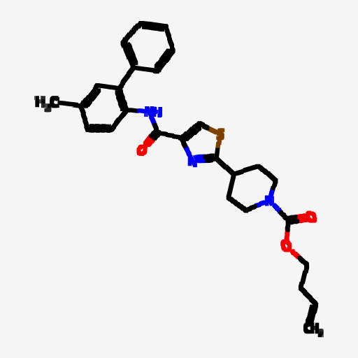 C=CCCOC(=O)N1CCC(c2nc(C(=O)Nc3ccc(C)cc3-c3ccccc3)cs2)CC1